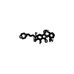 CC(C)c1cccc(C(C)C)c1N1C(=O)C2=CC(F)(NCCCN3CCOCC3)C(F)=C(F)C2C1=O